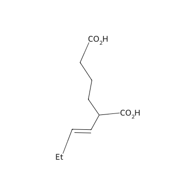 CCC=CC(CCCC(=O)O)C(=O)O